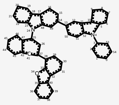 c1ccc(-n2c3ccccc3c3cc(-c4ccc5c6ccccc6n(-c6cc(-c7cccc8c7oc7ccccc78)cc7ccccc67)c5c4)ccc32)cc1